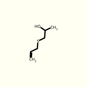 C=CCSCC(C)O